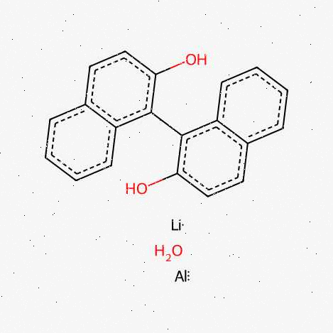 O.Oc1ccc2ccccc2c1-c1c(O)ccc2ccccc12.[Al].[Li]